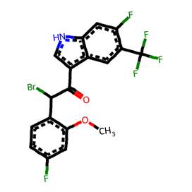 COc1cc(F)ccc1C(Br)C(=O)c1c[nH]c2cc(F)c(C(F)(F)F)cc12